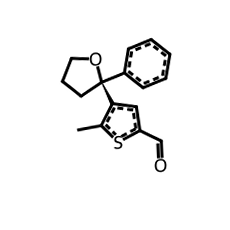 Cc1sc(C=O)cc1[C@@]1(c2ccccc2)CCCO1